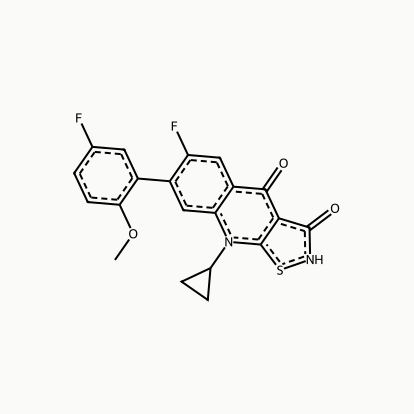 COc1ccc(F)cc1-c1cc2c(cc1F)c(=O)c1c(=O)[nH]sc1n2C1CC1